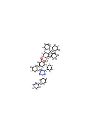 c1ccc(-c2nc(-c3cccc(-c4ccccn4)c3)nc(-c3ccccc3-c3ccc4c(c3)Oc3cc5c(cc3O4)C(c3ccccc3)(c3ccccc3)c3ccccc3-5)n2)cc1